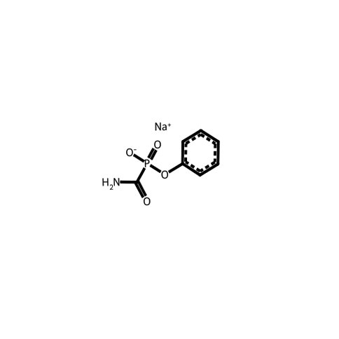 NC(=O)P(=O)([O-])Oc1ccccc1.[Na+]